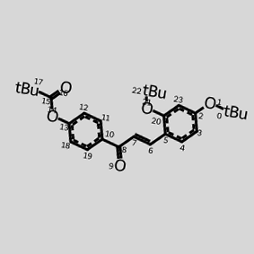 CC(C)(C)Oc1ccc(C=CC(=O)c2ccc(OC(=O)C(C)(C)C)cc2)c(OC(C)(C)C)c1